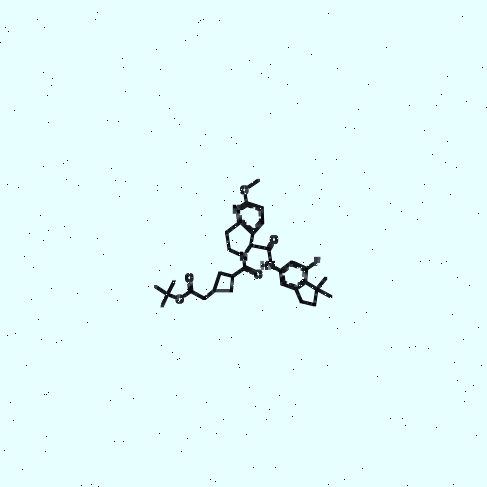 COc1ccc2c(n1)CCN(C(=O)C1CC(CC(=O)OC(C)(C)C)C1)C2C(=O)Nc1cc(F)c2c(c1)CCC2(C)C